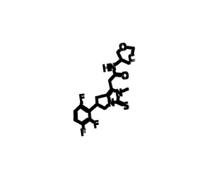 Cn1c(CC(=O)NC2CCCOC2)c2n(c1=S)CC(c1c(F)ccc(F)c1F)C2